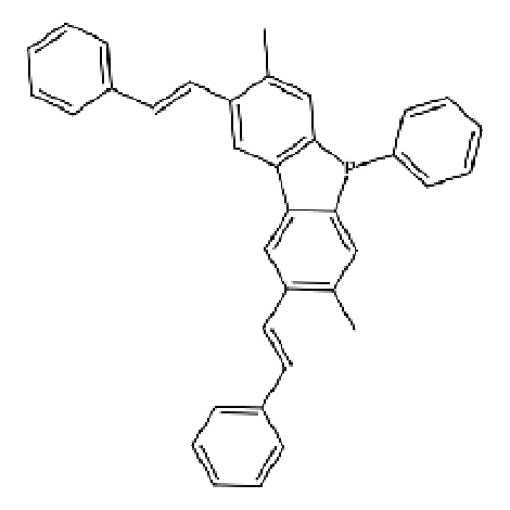 Cc1cc2c(cc1/C=C/c1ccccc1)c1cc(/C=C/c3ccccc3)c(C)cc1p2-c1ccccc1